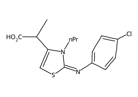 CCCn1c(C(C)C(=O)O)csc1=Nc1ccc(Cl)cc1